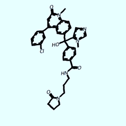 Cn1cncc1C(O)(c1ccc(C(=O)NCCCN2CCCC2=O)cc1)c1ccc2c(c1)c(-c1cccc(Cl)c1)cc(=O)n2C